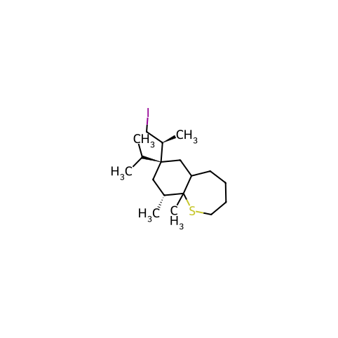 CC(C)[C@@]1([C@H](C)CI)CC2CCCCSC2(C)[C@H](C)C1